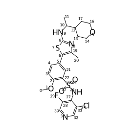 COc1ccc(-c2sc(NC(C)C3CCOCC3)nc2C)cc1S(=O)(=O)Nc1c(F)cncc1Cl